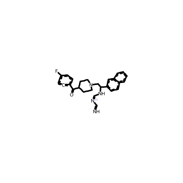 N=C/N=C\NC(CN1CCC(C(=O)c2ccc(F)cc2)CC1)c1ccc2ccccc2c1